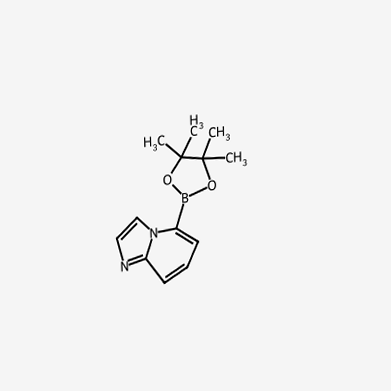 CC1(C)OB(c2cccc3nccn23)OC1(C)C